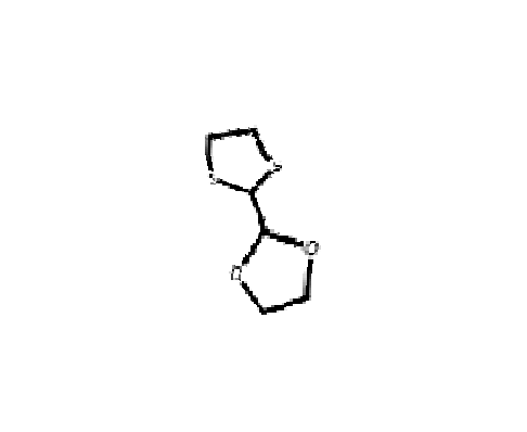 C1COC([C]2SCCS2)O1